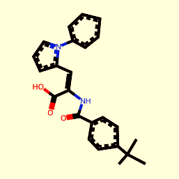 CC(C)(C)c1ccc(C(=O)NC(=Cc2cccn2-c2ccccc2)C(=O)O)cc1